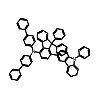 C1=c2c(n(-c3ccccc3)c3ccc(-c4ccc(N(c5ccc(-c6ccccc6)cc5)c5ccc(-c6ccccc6)cc5)c5c4C(c4ccccc4)(c4ccccc4)c4ccccc4-5)cc23)=CCC1